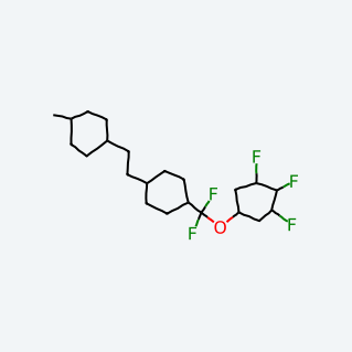 CC1CCC(CCC2CCC(C(F)(F)OC3CC(F)C(F)C(F)C3)CC2)CC1